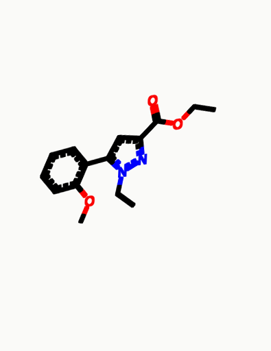 CCOC(=O)c1cc(-c2ccccc2OC)n(CC)n1